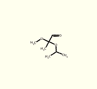 COC(C)(C=O)OC(C)C